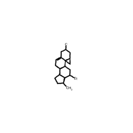 CCC1CC2C(CC=C3CC(Cl)CC4CC342)C2CCC(C)C12